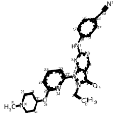 CCn1c(=O)c2cnc(Nc3ccc(C#N)cc3)nc2n1-c1cccc(OC2CCN(C)CC2)n1